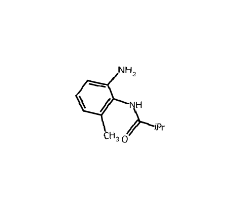 Cc1cccc(N)c1NC(=O)C(C)C